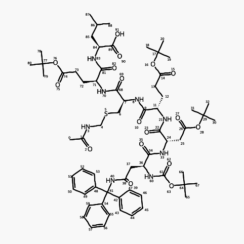 CC(=O)NCSC[C@H](NC(=O)[C@H](CCC(=O)OC(C)(C)C)NC(=O)[C@H](CC(=O)OC(C)(C)C)NC(=O)[C@H](CC(=O)NC(c1ccccc1)(c1ccccc1)c1ccccc1)NC(=O)OC(C)(C)C)C(=O)N[C@@H](CCC(=O)OC(C)(C)C)C(=O)N[C@@H](CC(C)C)C(=O)O